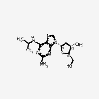 CC(C)Nc1nc(N)nc2c1ncn2[C@@H]1C[C@H](O)[C@@H](CO)S1